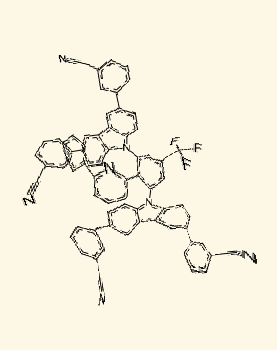 N#Cc1cccc(-c2ccc3c(c2)c2cc(-c4cccc(C#N)c4)ccc2n3-c2cc(C(F)(F)F)cc(-n3c4ccc(-c5cccc(C#N)c5)cc4c4cc(-c5cccc(C#N)c5)ccc43)c2-c2cccc(-c3ccccc3)n2)c1